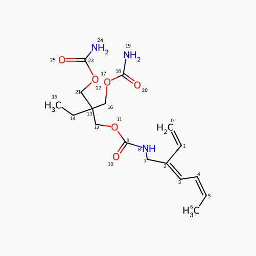 C=C/C(=C\C=C/C)CNC(=O)OCC(CC)(COC(N)=O)COC(N)=O